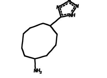 NC1CCCCCC(c2nnn[nH]2)CCC1